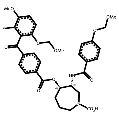 COCOc1ccc(C(=O)N[C@@H]2CN(C(=O)O)CCC[C@H]2OC(=O)c2ccc(C(=O)c3c(OCOC)ccc(OC)c3F)cc2)cc1